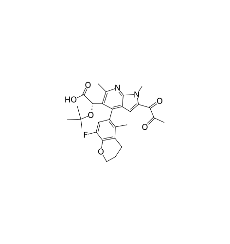 CC(=O)C(=O)c1cc2c(-c3cc(F)c4c(c3C)CCCO4)c([C@H](OC(C)(C)C)C(=O)O)c(C)nc2n1C